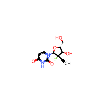 C#C[C@@]1(F)[C@H](O)[C@@H](CO)O[C@@H]1n1ccc(=O)[nH]c1=O